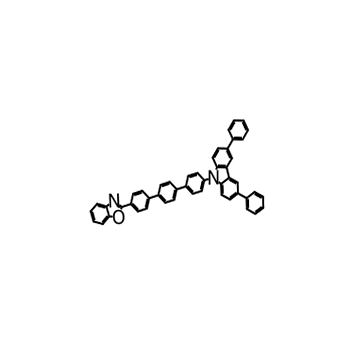 c1ccc(-c2ccc3c(c2)c2cc(-c4ccccc4)ccc2n3-c2ccc(-c3ccc(-c4ccc(-c5nc6ccccc6o5)cc4)cc3)cc2)cc1